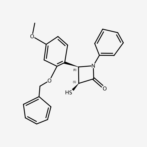 COc1ccc([C@@H]2[C@H](S)C(=O)N2c2ccccc2)c(OCc2ccccc2)c1